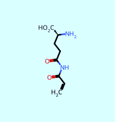 C=CC(=O)NC(=O)CC[C@H](N)C(=O)O